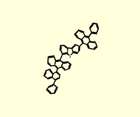 c1ccc(-c2ccc(-c3c4ccccc4c(-c4cccc5c4sc4ccc(-c6c7ccccc7c(-c7ccccc7)c7ccccc67)cc45)c4ccccc34)c3ccccc23)cc1